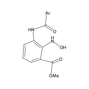 COC(=O)c1cccc(NC(=O)C(C)=O)c1NO